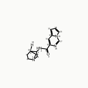 O=C(NC1CN2CC[C@H]1C2)c1cc2cccn2cn1